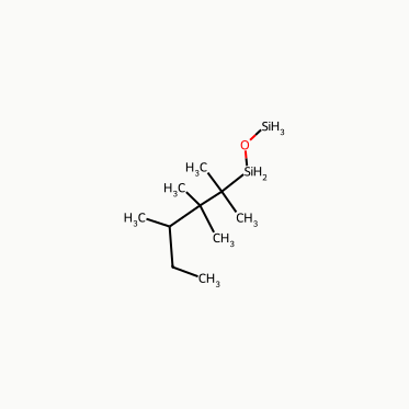 CCC(C)C(C)(C)C(C)(C)[SiH2]O[SiH3]